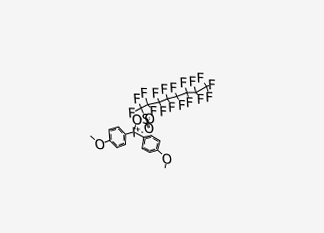 COc1ccc([I+](OS(=O)(=O)C(F)(F)C(F)(F)C(F)(F)C(F)(F)C(F)(F)C(F)(F)C(F)(F)C(F)(F)F)c2ccc(OC)cc2)cc1